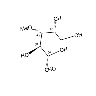 CO[C@@H]([C@H](O)[C@H](O)C=O)[C@H](O)CO